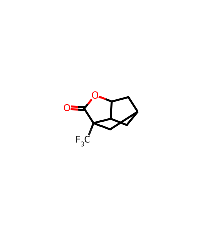 O=C1OC2CC3CC2C1(C(F)(F)F)C3